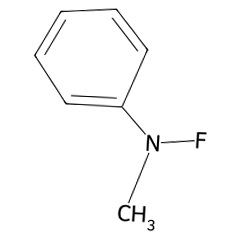 CN(F)c1ccccc1